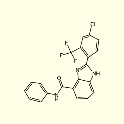 O=C(Nc1ccccc1)c1cccc2[nH]c(-c3ccc(Cl)cc3C(F)(F)F)nc12